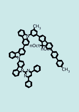 CCCCCCCCC1(CCCCCCCC)c2cc(-c3ccc(-c4ccc(C)cc4)cc3)ccc2-c2ccc(-c3cc(C)cc(-n4c5ccccc5c5cc(-c6ccc7c(c6)c6ccccc6n7-c6ccc7c(c6)c6ccccc6n7-c6nc(-c7ccccc7)cc(-c7ccccc7)n6)ccc54)c3)cc21